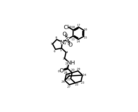 O=C(NCCC1CCCN1S(=O)(=O)c1ccccc1Cl)C12CC3CC(CC(C3)C1)C2